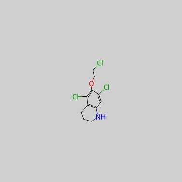 ClCCOc1c(Cl)cc2c(c1Cl)CCCN2